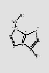 CCOn1ccc2c(N)csc21